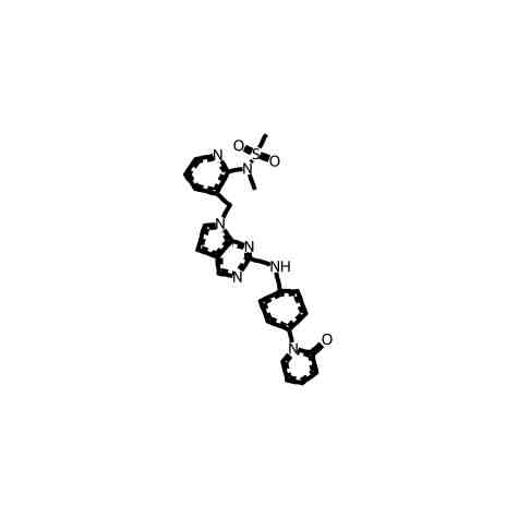 CN(c1ncccc1Cn1ccc2cnc(Nc3ccc(-n4ccccc4=O)cc3)nc21)S(C)(=O)=O